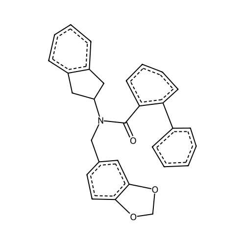 O=C(c1ccccc1-c1ccccc1)N(Cc1ccc2c(c1)OCO2)C1Cc2ccccc2C1